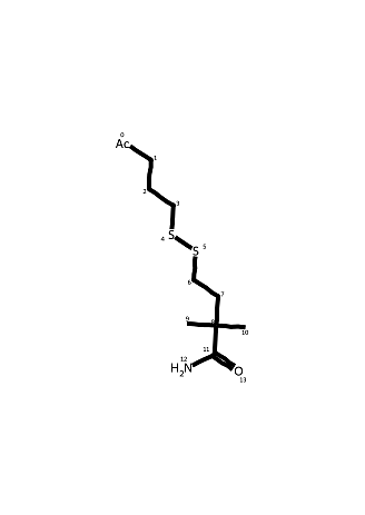 CC(=O)CCCSSCCC(C)(C)C(N)=O